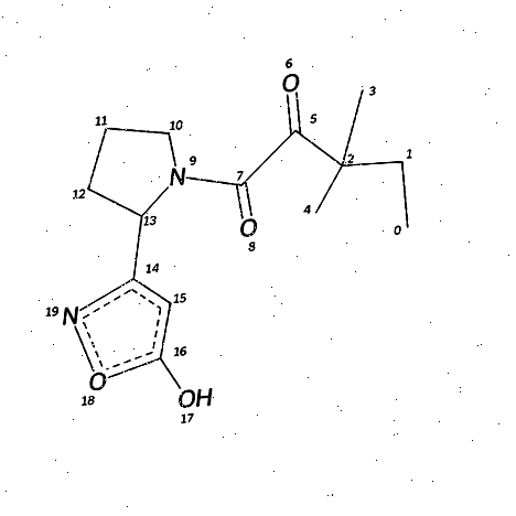 CCC(C)(C)C(=O)C(=O)N1CCCC1c1cc(O)on1